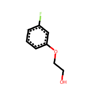 OCCOc1cc[c]c(F)c1